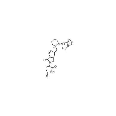 Cn1ccnc1CN[C@H]1CCCC[C@@H]1Cc1ccc2c(c1)CN(C1CCC(=O)NC1=O)C2=O